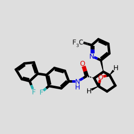 O=C(Nc1ccc(-c2ccccc2F)c(F)c1)[C@@H]1[C@@H](c2cccc(C(F)(F)F)n2)[C@@H]2CC[C@H]1O2